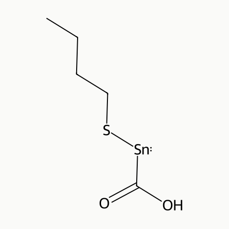 CCCC[S][Sn][C](=O)O